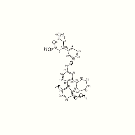 CCC[C@H](CC(=O)O)c1cccc(OCc2ccc(-c3cc(OC)ccc3F)c(C3CCCCCC3)c2)c1